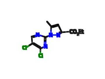 CCOC(=O)c1cc(C)n(-c2ncc(Cl)c(Cl)n2)n1